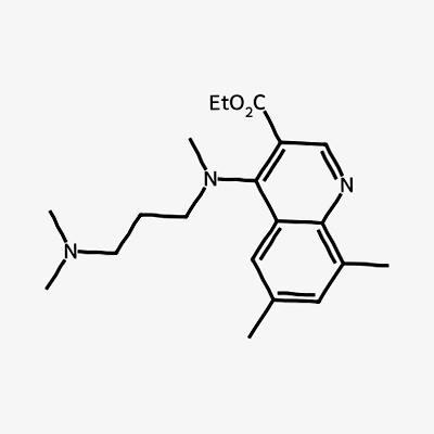 CCOC(=O)c1cnc2c(C)cc(C)cc2c1N(C)CCCN(C)C